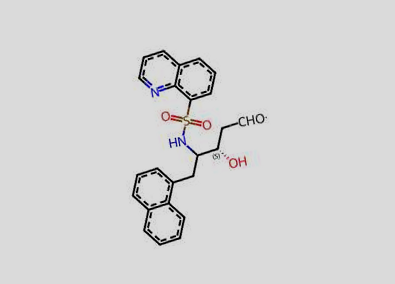 O=[C]C[C@H](O)C(Cc1cccc2ccccc12)NS(=O)(=O)c1cccc2cccnc12